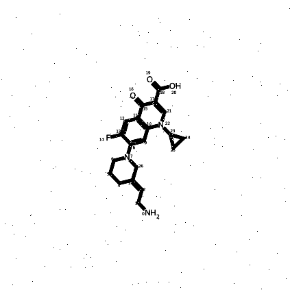 NC/C=C1\CCCN(c2cc3c(cc2F)c(=O)c(C(=O)O)cn3C2CC2)C1